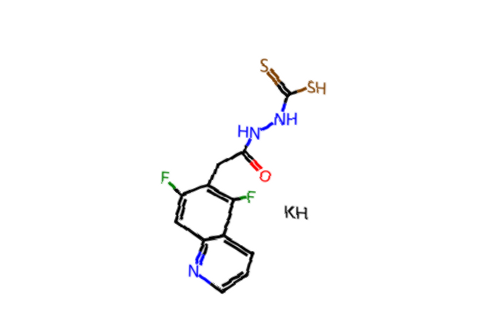 O=C(Cc1c(F)cc2ncccc2c1F)NNC(=S)S.[KH]